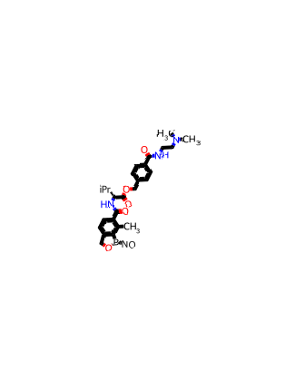 Cc1c(C(=O)N[C@H](C(=O)OCc2ccc(C(=O)NCCN(C)C)cc2)C(C)C)ccc2c1B(N=O)OC2